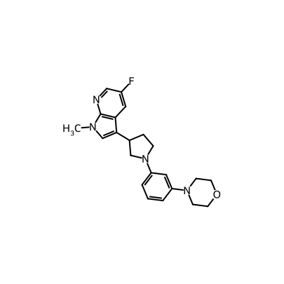 Cn1cc(C2CCN(c3cccc(N4CCOCC4)c3)C2)c2cc(F)cnc21